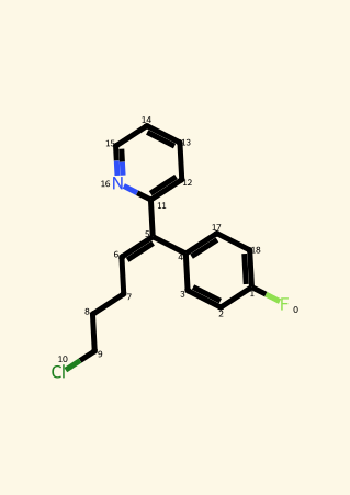 Fc1ccc(/C(=C\CCCCl)c2ccccn2)cc1